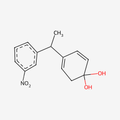 CC(C1=CCC(O)(O)C=C1)c1cccc([N+](=O)[O-])c1